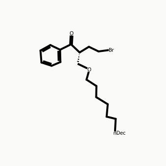 CCCCCCCCCCCCCCCCOC[C@@H](CCBr)C(=O)c1ccccc1